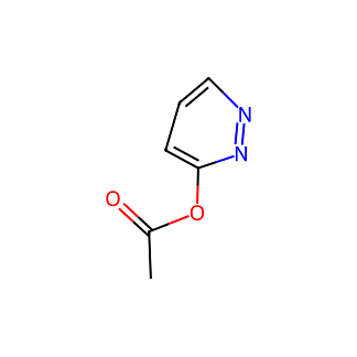 CC(=O)Oc1cccnn1